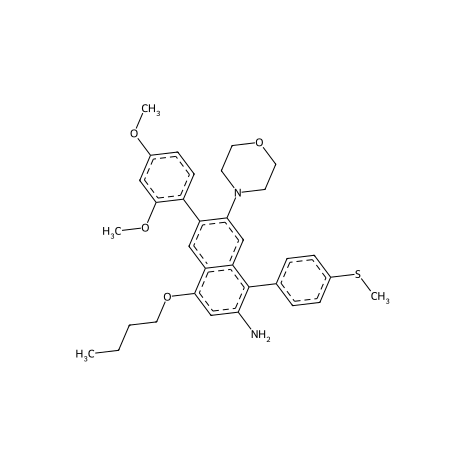 CCCCOc1cc(N)c(-c2ccc(SC)cc2)c2cc(N3CCOCC3)c(-c3ccc(OC)cc3OC)cc12